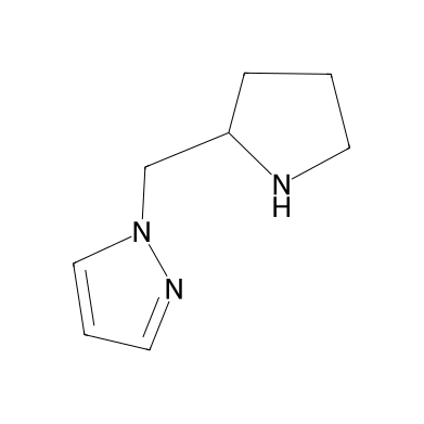 c1cnn(CC2CCCN2)c1